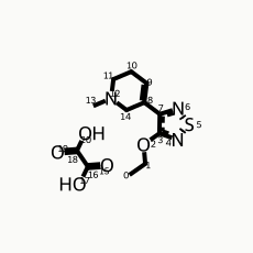 CCOc1nsnc1C1=CCCN(C)C1.O=C(O)C(=O)O